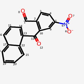 O=[C]c1ccc([N+](=O)[O-])cc1C(=O)c1cccc2ccccc12